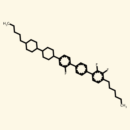 CCCCCCc1ccc(-c2ccc(-c3ccc(C4CCC(C5CCC(CCCCC)CC5)CC4)cc3F)cc2)c(F)c1F